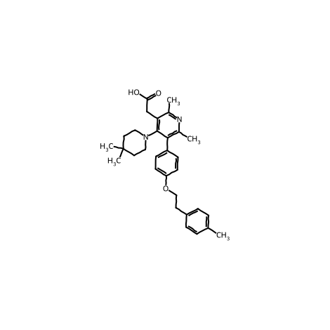 Cc1ccc(CCOc2ccc(-c3c(C)nc(C)c(CC(=O)O)c3N3CCC(C)(C)CC3)cc2)cc1